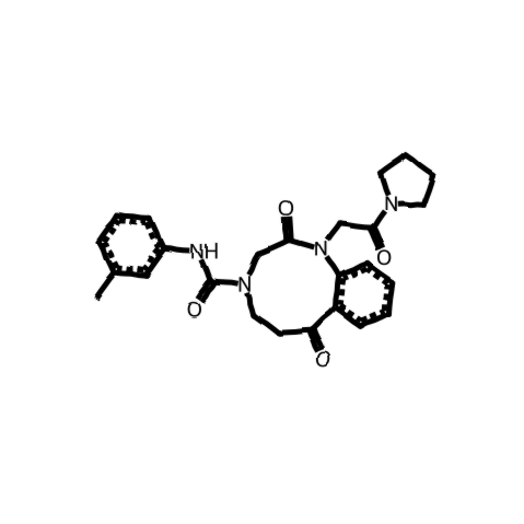 Cc1cccc(NC(=O)N2CCC(=O)c3ccccc3N(CC(=O)N3CCCC3)C(=O)C2)c1